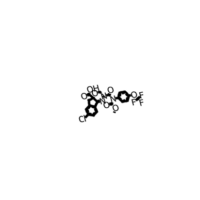 COC(=O)N(C(=O)N1COC2(C(=O)O)Cc3cc(Cl)ccc3C2=N1)c1ccc(OC(F)(F)F)cc1